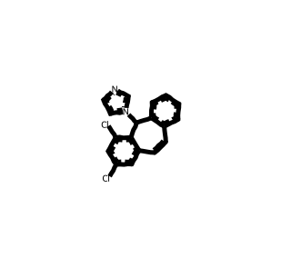 Clc1cc(Cl)c2c(c1)C=Cc1ccccc1C2n1ccnc1